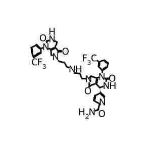 NC(=O)c1ccc([C@H]2NC(=O)N(c3cccc(C(F)(F)F)c3)C3=C2C(=O)N(CCCNCCCN2CC4=C(CNC(=O)N4c4cccc(C(F)(F)F)c4)C2=O)C3)cn1